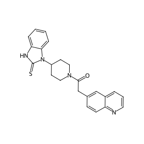 O=C(Cc1ccc2ncccc2c1)N1CCC(n2c(=S)[nH]c3ccccc32)CC1